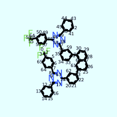 FC(F)(F)c1ccc(-c2nc(-c3ccccc3)nc(-c3cccc(-c4ccc5cccc(-c6cccc(-c7nc(-c8ccccc8)nc(-c8ccc(C(F)(F)F)cc8)n7)c6)c5c4)c3)n2)cc1